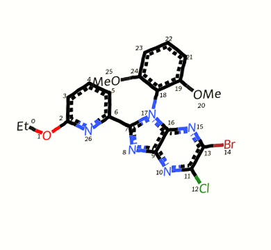 CCOc1cccc(-c2nc3nc(Cl)c(Br)nc3n2-c2c(OC)cccc2OC)n1